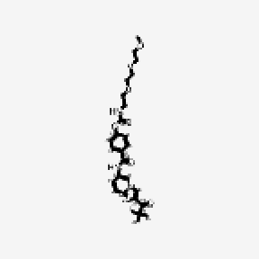 COCCOCCOCCNC(=O)Oc1ccc(C(=O)Nc2ccc3nc(C(=O)C(C)(C)C)cn3c2)cc1